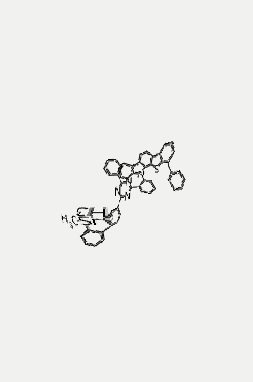 C[Si]1(C)c2ccccc2-c2ccc(-c3nc(-c4ccccc4)nc(-c4ccccc4-n4c5ccccc5c5ccc6c7cccc(-c8ccccc8)c7sc6c54)n3)cc21